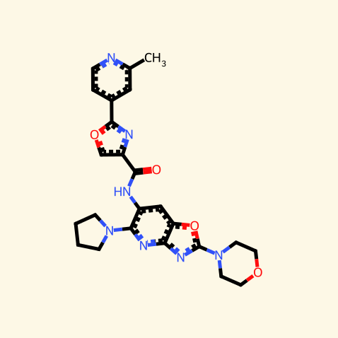 Cc1cc(-c2nc(C(=O)Nc3cc4oc(N5CCOCC5)nc4nc3N3CCCC3)co2)ccn1